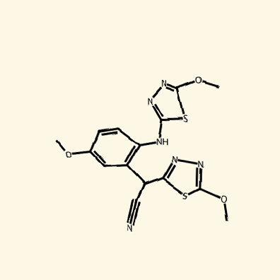 COc1ccc(Nc2nnc(OC)s2)c(C(C#N)c2nnc(OC)s2)c1